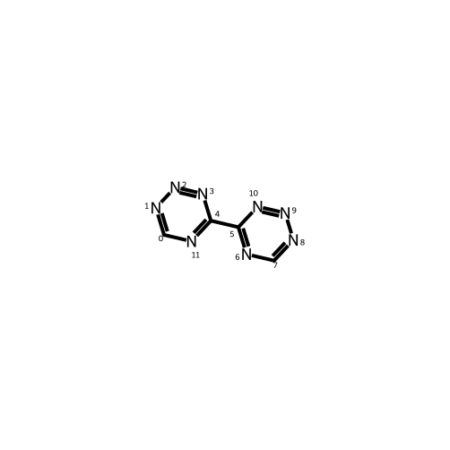 c1nnnc(-c2ncnnn2)n1